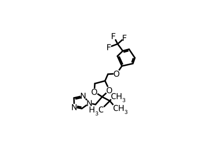 CC(C)(C)C1(Cn2cncn2)OCC(COc2cccc(C(F)(F)F)c2)O1